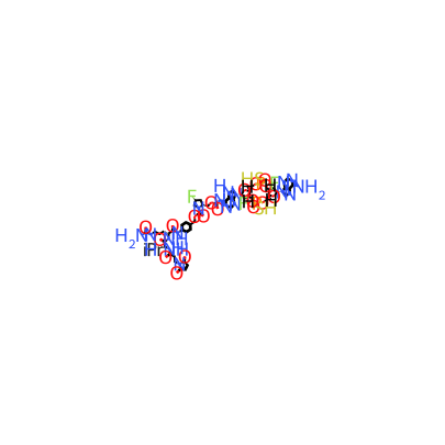 CC(C)[C@@H](NC(=O)CCN1C(=O)C=CC1=O)C(=O)N[C@H](CCCNC(N)=O)C(=O)Nc1ccc(COC(=O)N2C[C@@H](F)C[C@H]2COC(=O)Nc2ncnc3c2ncn3[C@@H]2O[C@@H]3CO[P@](=O)(S)O[C@H]4[C@@H](F)[C@H](n5cnc6c(N)ncnc65)O[C@@H]4CO[P@@](=O)(S)O[C@H]3[C@H]2F)cc1